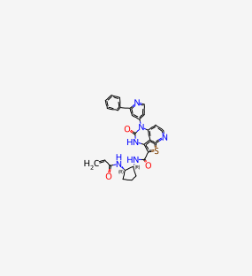 C=CC(=O)N[C@@H]1CCC[C@H]1NC(=O)c1sc2nccc3c2c1NC(=O)N3c1ccnc(-c2ccccc2)c1